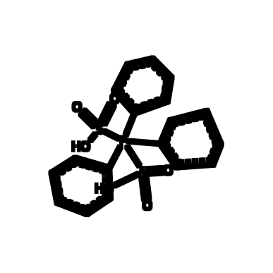 O=S(=O)(O)P(c1ccccc1)(c1ccccc1)(c1ccccc1)S(=O)(=O)O